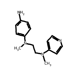 CN(CCN(C)c1ccc(N)cc1)c1ccncc1